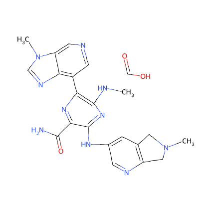 CNc1nc(Nc2cnc3c(c2)CN(C)C3)c(C(N)=O)nc1-c1cncc2c1ncn2C.O=CO